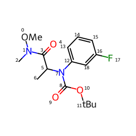 CON(C)C(=O)C(C)N(C(=O)OC(C)(C)C)c1cccc(F)c1